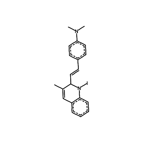 CC1=Cc2ccccc2N(I)C1C=Cc1ccc(N(C)C)cc1